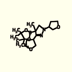 CC1(B2OC(C)(C)C(C)(C)O2)CN(C2CCOC2)N=C1C1CCOC1